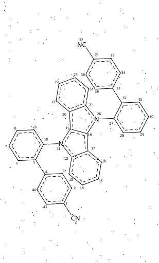 N#Cc1ccc(-c2ccccc2-n2c3ccccc3c3c2c2ccccc2n3-c2ccccc2-c2ccc(C#N)cc2)cc1